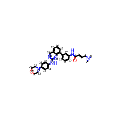 CN(C)CC=CC(=O)Nc1cccc(-c2cccc3cnc(Nc4ccc(N5CCOCC5)cc4)nc23)c1